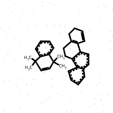 C1=CC2=C(CC1)CCc1c2ccc2ccccc12.CC1(C)C=CC(C)(C)c2ccccc21